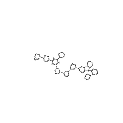 c1ccc(-c2nc(-c3ccc(-c4cccnc4)cc3)nc(-c3cccc(-c4cccc(-c5cccc(-c6ccc7c(c6)-c6ccccc6C7(c6ccccc6)c6ccccc6)c5)c4)c3)n2)cc1